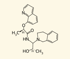 C[C@H](O)C(NC(=O)[C@@H](C)Oc1cccc2cccnc12)N1CCc2ccccc2C1